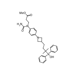 COC(=O)CCN(C(N)=O)c1ccc(N2CC(CCC(C)(C)[Si](O)(c3ccccc3)c3ccccc3)C2)cc1